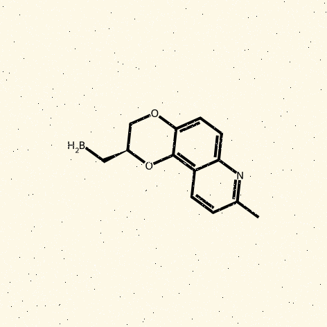 BC[C@H]1COc2ccc3nc(C)ccc3c2O1